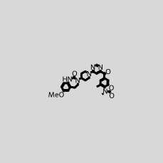 COc1ccc2c(c1)CCN(C1CCN(c3cc(C(=O)c4cc(C)c5c(c4)oc(=O)n5C)ncn3)CC1)C(=O)N2